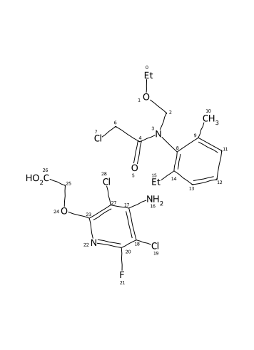 CCOCN(C(=O)CCl)c1c(C)cccc1CC.Nc1c(Cl)c(F)nc(OCC(=O)O)c1Cl